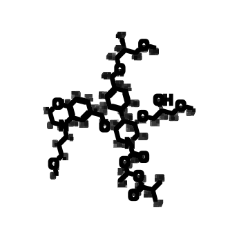 COCCCN1CCOc2ccc(CO[C@H]3CN(C(=O)OC(C)OC(=O)C(C)C)C[C@@H](OC[C@H](O)COC)[C@@H]3c3ccc(COC[C@@H](C)COC)cc3)cc21